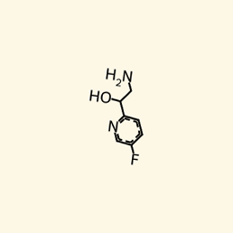 NCC(O)c1ccc(F)cn1